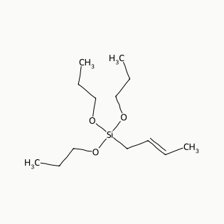 C/C=C/C[Si](OCCC)(OCCC)OCCC